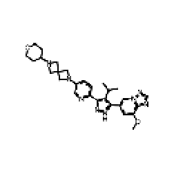 COc1cc(-c2[nH]nc(-c3ccc(N4CC5(C4)CN(C4CCOCC4)C5)cn3)c2C(C)C)cn2ncnc12